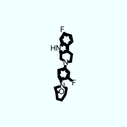 Fc1ccc2c3c([nH]c2c1)CN(c1ccc(N2CC4CCC(C2)O4)c(F)c1)CC3